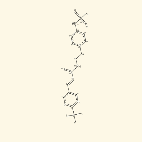 CC(C)(C)c1ccc(C=CC(=S)NCCc2ccc(NS(C)(=O)=O)cc2)cc1